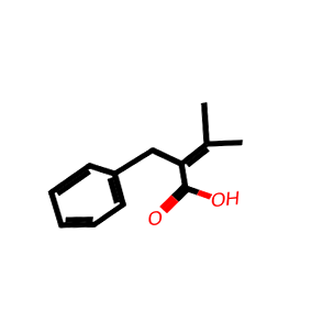 CC(C)=C(Cc1ccccc1)C(=O)O